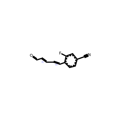 N#Cc1ccc(/C=C/C=C/C=O)c(F)c1